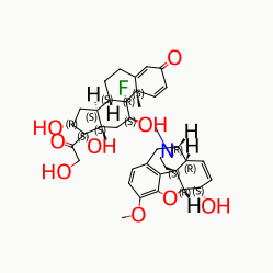 COc1ccc2c3c1O[C@H]1[C@@H](O)C=C[C@H]4[C@@H](C2)N(C)CC[C@@]341.C[C@]12C=CC(=O)C=C1CC[C@H]1[C@@H]3C[C@@H](O)[C@](O)(C(=O)CO)[C@@]3(C)C[C@H](O)[C@@]12F